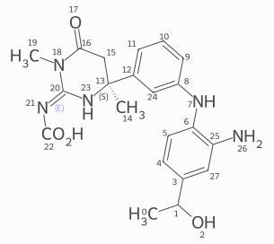 CC(O)c1ccc(Nc2cccc([C@]3(C)CC(=O)N(C)/C(=N/C(=O)O)N3)c2)c(N)c1